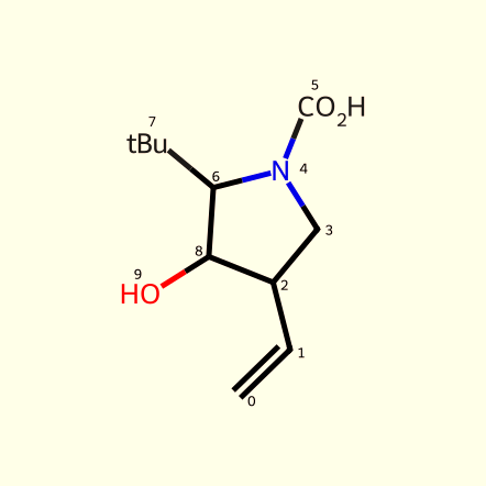 C=CC1CN(C(=O)O)C(C(C)(C)C)C1O